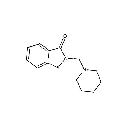 O=c1c2ccccc2sn1CN1CCCCC1